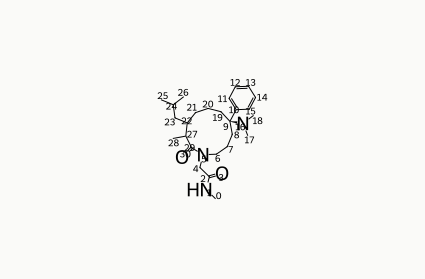 CNC(=O)CN1CCC[C@](c2ccccc2)(N(C)C)CCCC(CC(C)C)C(C)C1=O